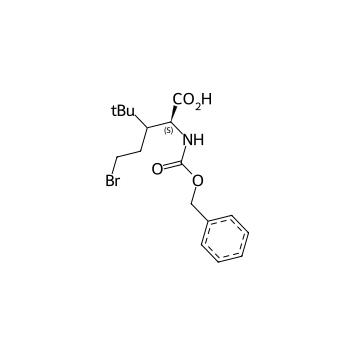 CC(C)(C)C(CCBr)[C@H](NC(=O)OCc1ccccc1)C(=O)O